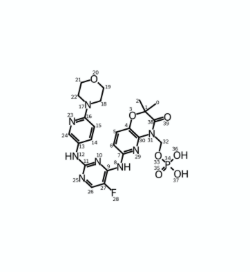 CC1(C)Oc2ccc(Nc3nc(Nc4ccc(N5CCOCC5)nc4)ncc3F)nc2N(COP(=O)(O)O)C1=O